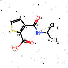 CC(C)NC(=O)c1ccsc1C(=O)O